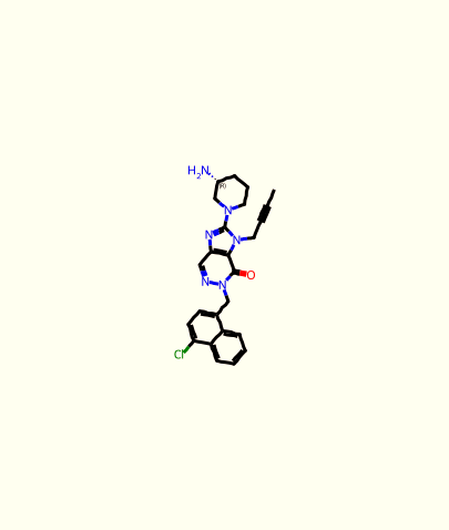 CC#CCn1c(N2CCC[C@@H](N)C2)nc2cnn(Cc3ccc(Cl)c4ccccc34)c(=O)c21